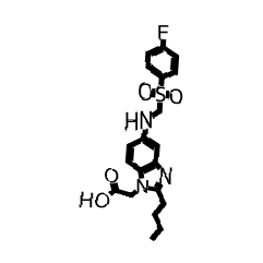 CCCCc1nc2cc(NCS(=O)(=O)c3ccc(F)cc3)ccc2n1CC(=O)O